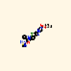 CC(C)(C)OC(=O)N1CCN(c2ccc(-c3ccc4cn([C@@H](C(=O)Nc5nccs5)c5ccccc5)nc4c3Cl)cn2)CC1